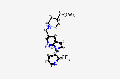 COCC1CCN(Cc2cnc3c(ccn3-c3cccnc3C(F)(F)F)c2)CC1